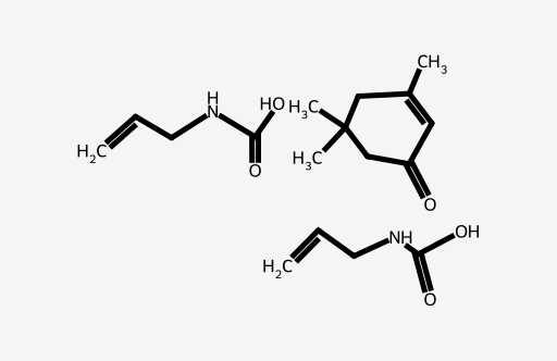 C=CCNC(=O)O.C=CCNC(=O)O.CC1=CC(=O)CC(C)(C)C1